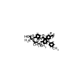 Cc1ccc(Sc2ccc(CN(C)C[C@H]3Oc4c(NC(=O)Cc5ccc(C(F)(F)F)cc5)cccc4C(=O)N([C@@H](C)CO)C[C@H]3C)cc2)cc1